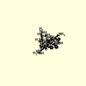 C[C@@H](NC(=O)[C@H](CS)NC(=O)[C@@H](N)CCCNC(=N)N)C(=O)N[C@@H](CCCNC(=N)N)C(=O)N[C@H](Cc1ccccc1)C(=O)N[C@@H](CC(Br)CNC(=N)N)C(=O)N[C@H](Cc1c[nH]c2ccccc12)C(=O)N[C@@H](CS)C(=O)N[C@@H](CCCCN)C(=O)N1CCC[C@H]1C(=O)O